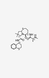 CN[C@@H](C)C(=O)N[C@H]1CCSC2CC(C)(C)[C@@H](C(=O)N[C@@H]3CCSc4ccccc43)N2C1=O